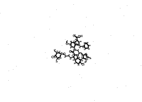 COc1cc(N2C[C@@H](C)n3c(c(CCCOc4cc(C)c(Cl)c(C)c4)c4ccc(Cl)c(-c5c(C)nn(C)c5C)c43)C2=O)c2c(c1)c(C(=O)O)cn2Cc1ccccn1